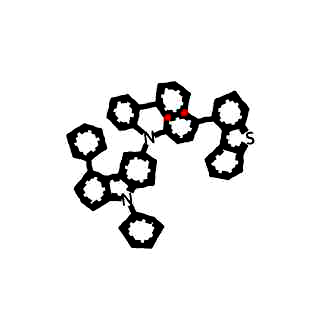 c1ccc(-c2ccccc2N(c2ccc(-c3cccc4sc5ccccc5c34)cc2)c2ccc3c(c2)c2c(-c4ccccc4)cccc2n3-c2ccccc2)cc1